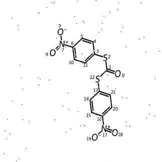 O=C(Sc1ccc([N+](=O)[O-])cc1)Sc1ccc([N+](=O)[O-])cc1